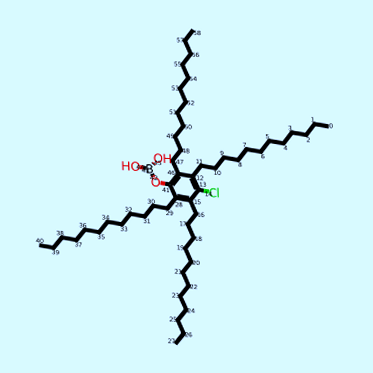 CCCCCCCCCCCCc1c(Cl)c(CCCCCCCCCCCC)c(CCCCCCCCCCCC)c(OB(O)O)c1CCCCCCCCCCCC